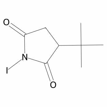 CC(C)(C)C1CC(=O)N(I)C1=O